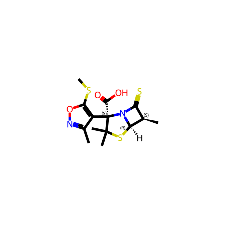 CSc1onc(C)c1[C@@]1(C(=O)O)N2C(=S)[C@@H](C)[C@H]2SC1(C)C